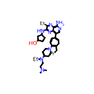 CCc1nc2c(N)ncc(C3=CCC(CC(C)C)=C(N4CCC(N(CC)CCN(C)C)CC4)C=C3)c2nc1NC1CCC(O)C1